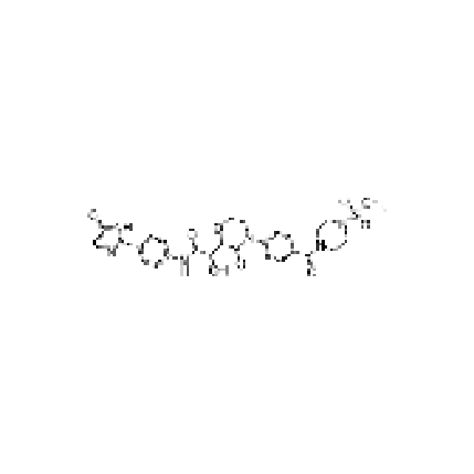 CS(=O)(=O)N1CCN(C(=O)c2ccc(N3CCO[C@H]([C@@H](O)C(=O)Nc4ccc(-c5noc(=O)[nH]5)cc4)C3=O)cc2)CC1